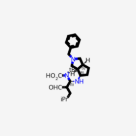 CC(C)CC(C=O)[C@@H](N[C@@H]1CC[C@@H]2CN(Cc3ccccc3)C[C@@H]21)N(C(=O)O)C(C)(C)C